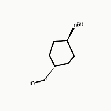 CCCC[C@H]1CC[C@H](C[O])CC1